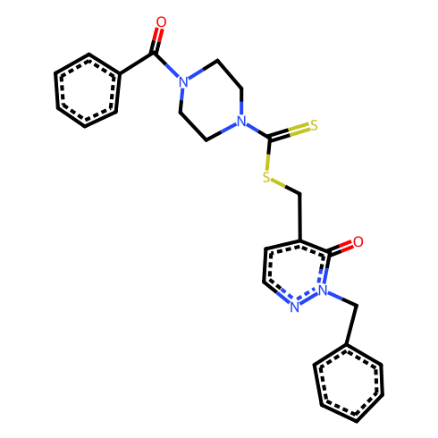 O=C(c1ccccc1)N1CCN(C(=S)SCc2ccnn(Cc3ccccc3)c2=O)CC1